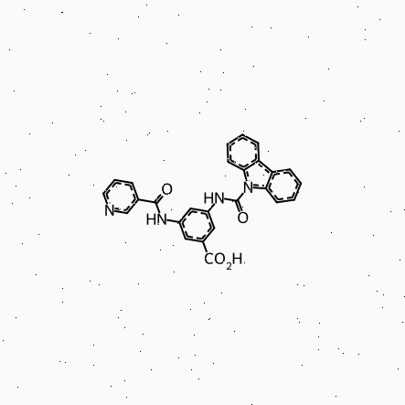 O=C(O)c1cc(NC(=O)c2cccnc2)cc(NC(=O)n2c3ccccc3c3ccccc32)c1